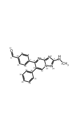 CNc1nc2nc(-c3ccc(C=O)cc3)c(-c3ccccc3)cn2n1